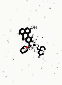 C#Cc1c(F)ccc2cc(O)cc(-c3ccc4c(N5CC6CCC(C5)N6CC(F)(F)F)nc(OCC56CCCN5CC(F)C6)nc4c3F)c12